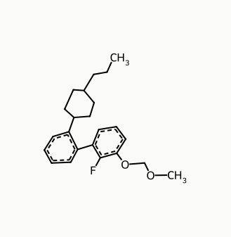 CCCC1CCC(c2ccccc2-c2cccc(OCOC)c2F)CC1